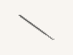 CCCCCCCCCCCCCCCCCCCCCCCCCCCCCCCCCCCCCCCCCC